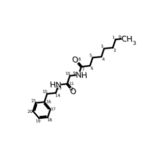 CCCCCCCC(=O)NCC(=O)NCCc1ccccc1